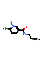 CC(C)(C)CCNC(=O)c1ccc(Cl)[n+]([O-])c1